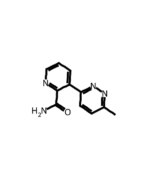 Cc1ccc(-c2cccnc2C(N)=O)nn1